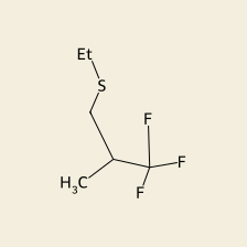 CCSCC(C)C(F)(F)F